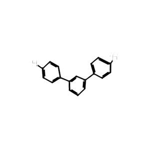 [2H]c1ccc(-c2cccc(-c3ccc([2H])cc3)c2)cc1